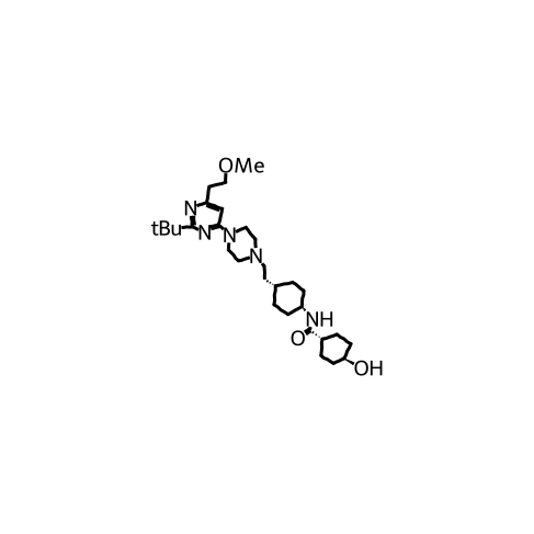 COCCc1cc(N2CCN(CC[C@H]3CC[C@@H](NC(=O)[C@H]4CC[C@H](O)CC4)CC3)CC2)nc(C(C)(C)C)n1